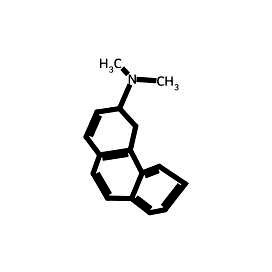 CN(C)C1C=Cc2ccc3ccccc3c2C1